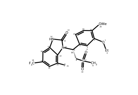 CCOc1cc([C@H](CS(C)(=O)=O)n2c(=O)[nH]c3cc(C(F)(F)F)cc(F)c32)ccc1OC